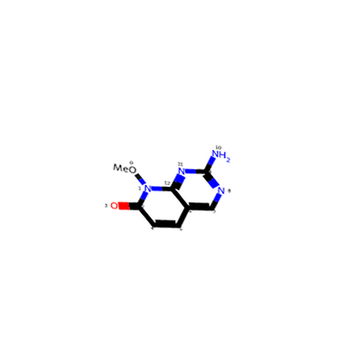 COn1c(=O)ccc2cnc(N)nc21